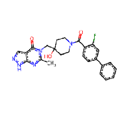 Cc1nc2[nH]ncc2c(=O)n1CC1(O)CCN(C(=O)c2ccc(-c3ccccc3)cc2F)CC1